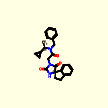 O=C1N[C@]2(CCc3ccccc32)C(=O)N1CC(=O)N(Cc1ccccc1)[C@@H](C1CC1)C(F)(F)F